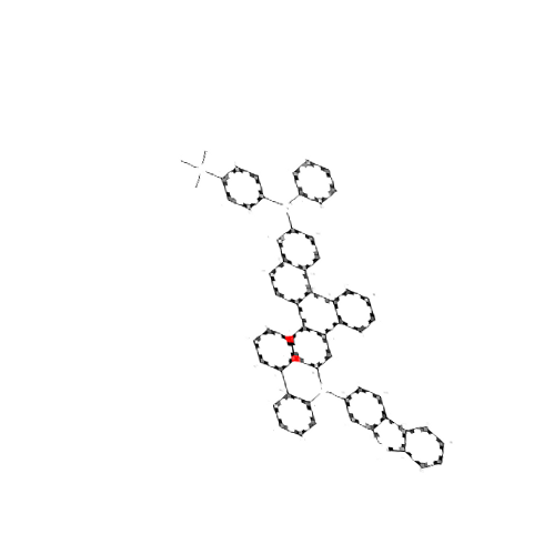 CS(C)(C)c1ccc(N(c2ccccc2)c2ccc3c(ccc4c5ccc(N(c6ccc7c(c6)oc6ccccc67)c6ccccc6-c6ccccc6)cc5c5ccccc5c34)c2)cc1